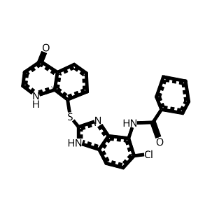 O=C(Nc1c(Cl)ccc2[nH]c(Sc3cccc4c(=O)cc[nH]c34)nc12)c1ccccc1